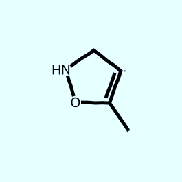 CC1=[C]CNO1